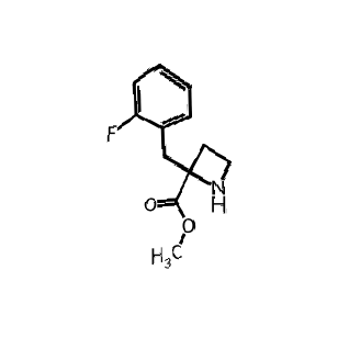 COC(=O)C1(Cc2ccccc2F)CCN1